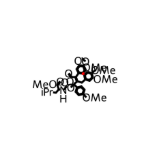 COC(=O)C(CC(C)C)NC(=O)OC1(c2ccc(OC)cc2)OC(=O)C(c2ccc3c(c2)OCO3)=C1Cc1cc(OC)c(OC)c(OC)c1